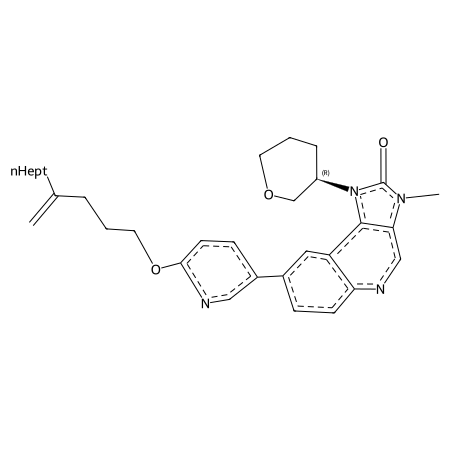 C=C(CCCCCCC)CCCOc1ccc(-c2ccc3ncc4c(c3c2)n([C@@H]2CCCOC2)c(=O)n4C)cn1